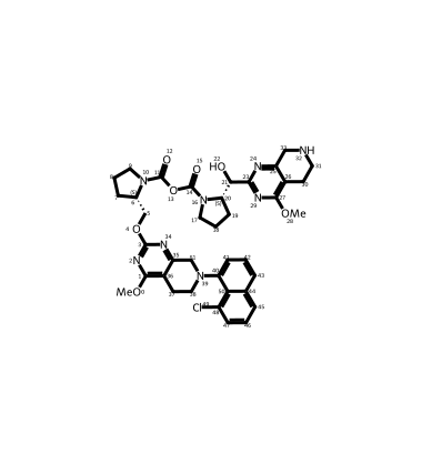 COc1nc(OC[C@@H]2CCCN2C(=O)OC(=O)N2CCC[C@H]2C(O)c2nc3c(c(OC)n2)CCNC3)nc2c1CCN(c1cccc3cccc(Cl)c13)C2